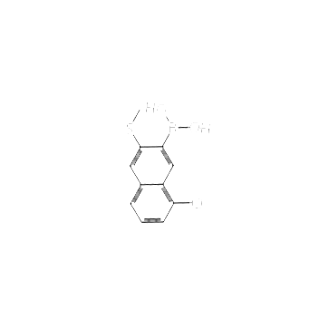 CSc1cc2cccc(Cl)c2cc1B(O)O